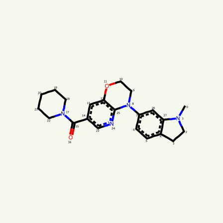 CN1CCc2ccc(N3CCOc4cc(C(=O)N5CCCCC5)cnc43)cc21